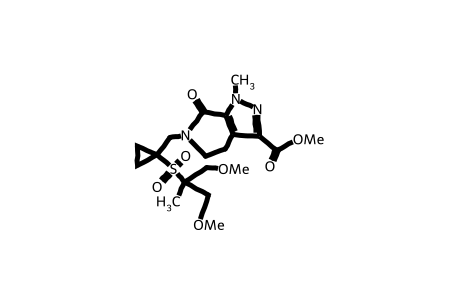 COCC(C)(COC)S(=O)(=O)C1(CN2CCc3c(C(=O)OC)nn(C)c3C2=O)CC1